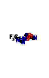 O=C(NCc1cc(-c2ccc(C(F)(F)F)cn2)ccn1)[C@@H]1CCCN1S(=O)(=O)c1cc2ccncc2o1